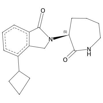 O=C1NCCCC[C@@H]1N1Cc2c(cccc2C2CCC2)C1=O